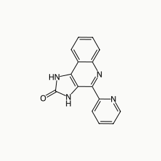 O=c1[nH]c2c(-c3ccccn3)nc3ccccc3c2[nH]1